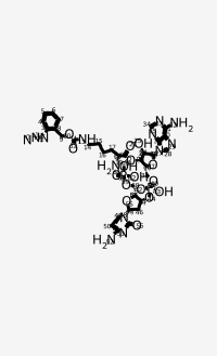 [N-]=[N+]=Nc1ccccc1COC(=O)NCCCC[C@H](N)C(=O)O[C@H]1[C@@H](O)[C@H](n2cnc3c(N)ncnc32)O[C@@H]1COP(=O)(O)O[C@H]1C[C@H](n2ccc(N)nc2=O)O[C@@H]1COP(=O)(O)O